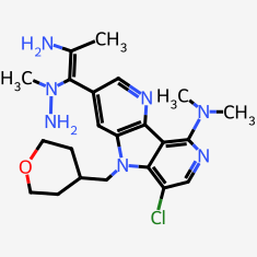 C/C(N)=C(\c1cnc2c3c(N(C)C)ncc(Cl)c3n(CC3CCOCC3)c2c1)N(C)N